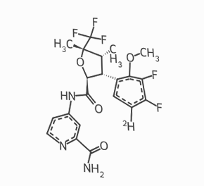 [2H]c1cc([C@@H]2[C@@H](C(=O)Nc3ccnc(C(N)=O)c3)O[C@](C)(C(F)(F)F)[C@@H]2C)c(OC)c(F)c1F